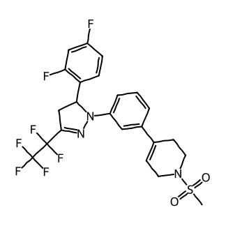 CS(=O)(=O)N1CC=C(c2cccc(N3N=C(C(F)(F)C(F)(F)F)CC3c3ccc(F)cc3F)c2)CC1